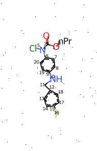 CCCOC(=O)N(Cl)c1ccc(NCc2ccc(F)cc2)cc1